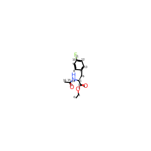 CCOC(=O)[C@H](Cc1ccc(F)cc1)NC(C)=O